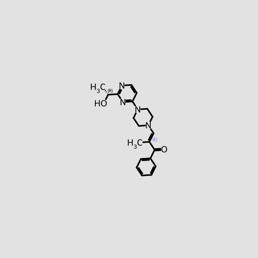 C/C(=C\N1CCN(c2ccnc([C@@H](C)O)n2)CC1)C(=O)c1ccccc1